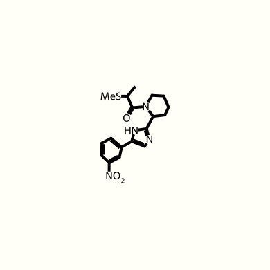 CSC(C)C(=O)N1CCCCC1c1ncc(-c2cccc([N+](=O)[O-])c2)[nH]1